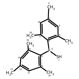 Cc1cc(C)c(P(S)c2c(C)cc(C)cc2C)c(C)c1